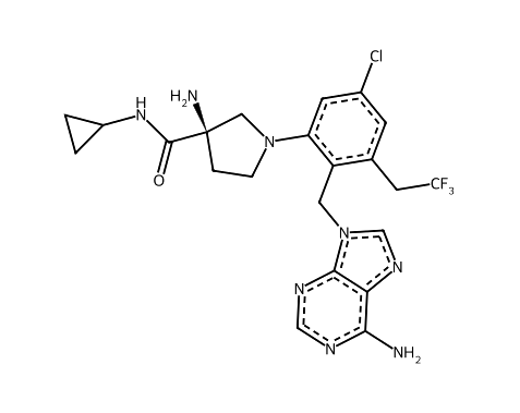 Nc1ncnc2c1ncn2Cc1c(CC(F)(F)F)cc(Cl)cc1N1CC[C@](N)(C(=O)NC2CC2)C1